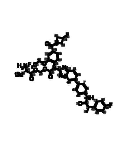 C[C@@H](C(=O)Nc1ccc(-c2ccc3nc(N(C(=O)OCOC(=O)[C@@H](N)C(C)(C)C)c4ccc(C(=O)N5CC(F)C5)cc4OCC(F)(F)F)nn3c2)cc1)c1ccc(F)cc1